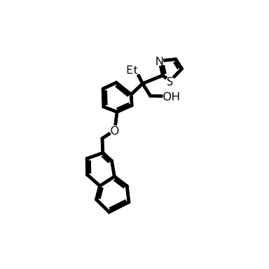 CCC(CO)(c1cccc(OCc2ccc3ccccc3c2)c1)c1nccs1